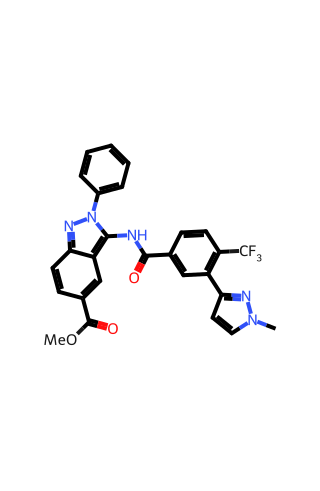 COC(=O)c1ccc2nn(-c3ccccc3)c(NC(=O)c3ccc(C(F)(F)F)c(-c4ccn(C)n4)c3)c2c1